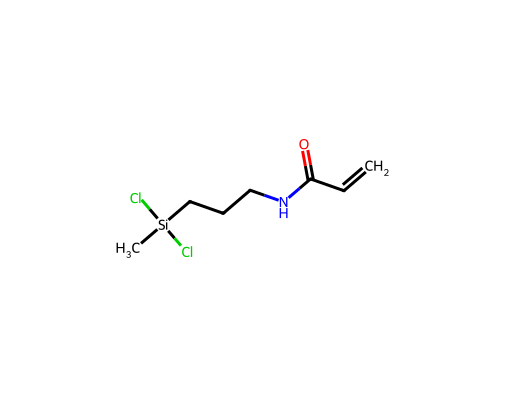 C=CC(=O)NCCC[Si](C)(Cl)Cl